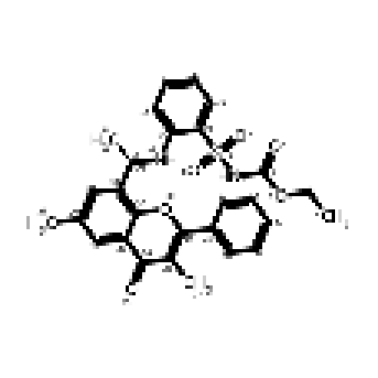 CCOC(=O)NS(=O)(=O)c1ccccc1N[C@H](C)c1cc(C)cc2c(=O)c(C)c(-c3ccccc3)oc12